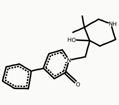 CC1(C)CNCCC1(O)Cn1ccc(-c2ccccc2)cc1=O